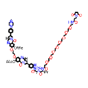 COc1cc2c(cc1OCCCOc1cc3c(cc1OC)C(=O)N1C=C(c4ccc(N5CCN(C)CC5)cc4)C[C@H]1C=N3)N=C[C@@H]1CC(c3ccc(NC(=O)[C@H](C)NC(=O)[C@@H](NC(=O)CCOCCOCCOCCOCCOCCOCCOCCOCCNC(=O)CCN4C(=O)C=CC4=O)C(C)C)cc3)=CN1C2=O